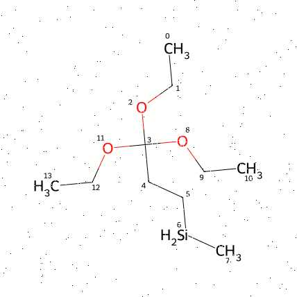 CCOC(CC[SiH2]C)(OCC)OCC